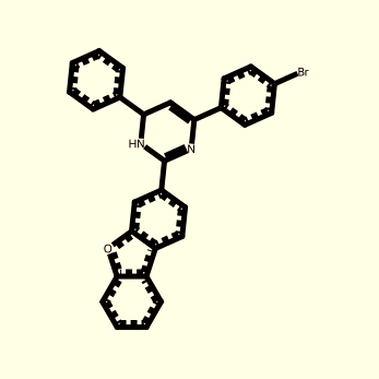 Brc1ccc(C2=CC(c3ccccc3)NC(c3ccc4c(c3)oc3ccccc34)=N2)cc1